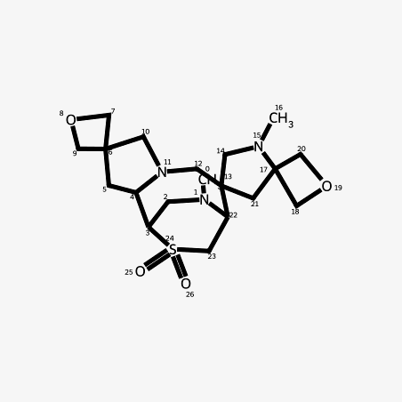 CN1CC2C3CC4(COC4)CN3CC3(CN(C)C4(COC4)C3)C1CS2(=O)=O